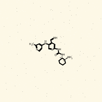 Cc1cc(Nc2cnc(NC(=O)N[C@H]3CCCC[C@@H]3N)cc2C=N)ccn1